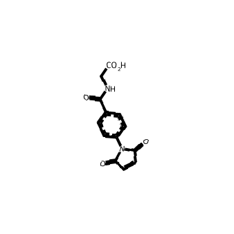 O=C(O)CNC(=O)c1ccc(N2C(=O)C=CC2=O)cc1